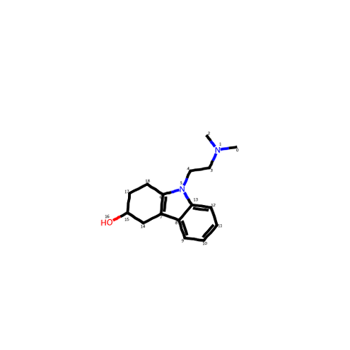 CN(C)CCn1c2c(c3ccccc31)CC(O)CC2